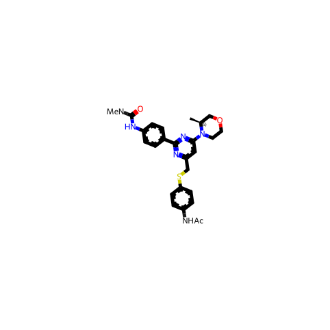 CNC(=O)Nc1ccc(-c2nc(CSc3ccc(NC(C)=O)cc3)cc(N3CCOC[C@@H]3C)n2)cc1